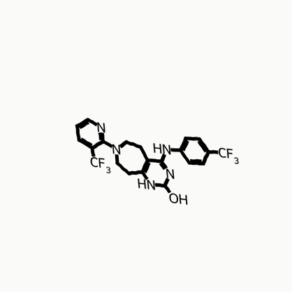 OC1N=C(Nc2ccc(C(F)(F)F)cc2)C2=C(CCN(c3ncccc3C(F)(F)F)CC2)N1